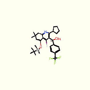 CC1(C)Cc2nc(C3CCCC3)c([C@@H](O)c3ccc(C(F)(F)F)cc3)c(I)c2C(O[Si](C)(C)C(C)(C)C)C1